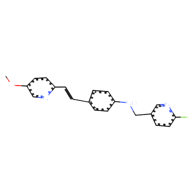 COc1ccc(/C=C/c2ccc(NCc3ccc(F)nc3)cc2)nc1